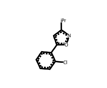 CC(C)c1cc(-c2ccccc2Cl)on1